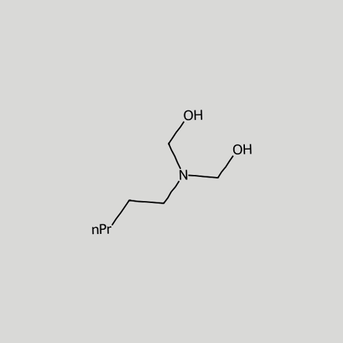 CCCCCN(CO)CO